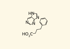 O=C(O)CCCc1ccccc1.c1ncc2[nH]cnc2n1